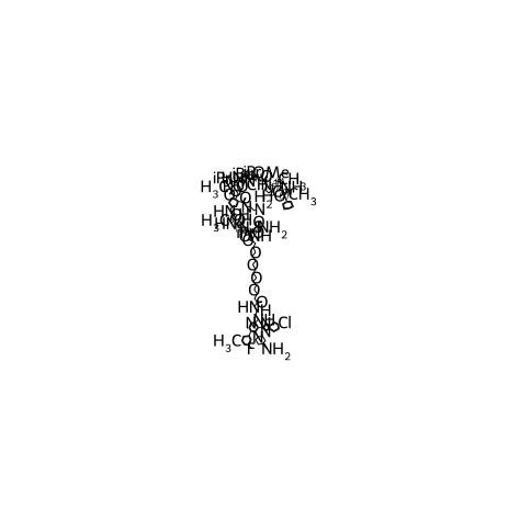 CC[C@H](C)[C@@H]([C@@H](CC(=O)N1CCC[C@H]1C[C@@H](C)C(=O)N[C@H](C)[C@@H](O)c1ccccc1)OC)N(C)C(=O)[C@@H](NC(=O)[C@H](C(C)C)N(C)C(=O)OCc1ccc(NC(=O)[C@H](C)NC(=O)[C@@H](NC(=O)[C@H](CS(N)(=O)=O)NC(=O)CCOCCOCCOCCOCCC(=O)NCCNc2ncc(-c3cc(C)cc(F)c3)c(N3CCC(N)CC3)c2-c2nc3ccc(Cl)cc3[nH]2)C(C)C)cc1C(=O)NCCN)C(C)C